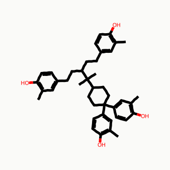 Cc1cc(CCC(CCc2ccc(O)c(C)c2)C(C)(C)C2CCC(c3ccc(O)c(C)c3)(c3ccc(O)c(C)c3)CC2)ccc1O